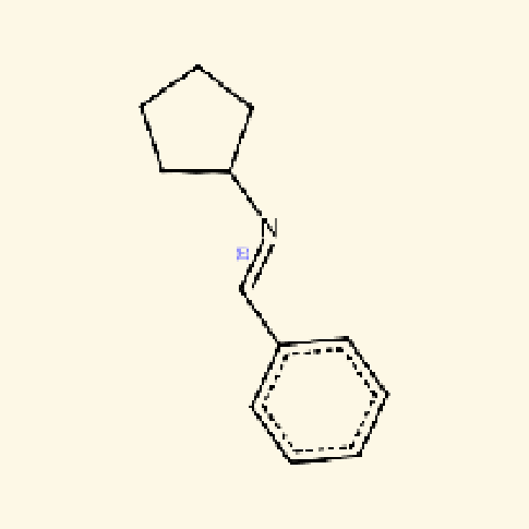 C(=N\C1CCCC1)/c1ccccc1